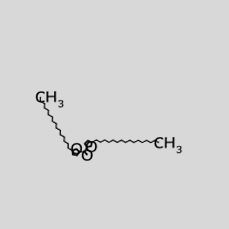 CCCCCCCCCCCCCCCCc1ccc(C(=O)c2ccc(CCCCCCCCCCCCCCCC)o2)o1